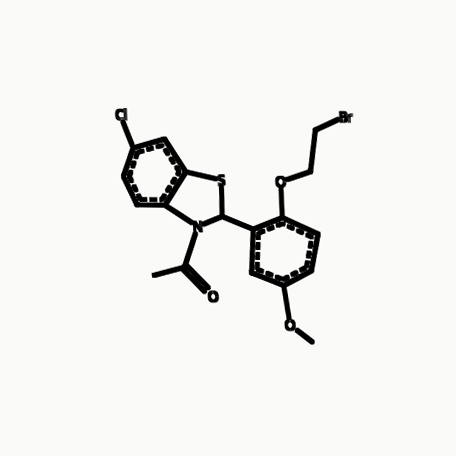 COc1ccc(OCCBr)c(C2Sc3cc(Cl)ccc3N2C(C)=O)c1